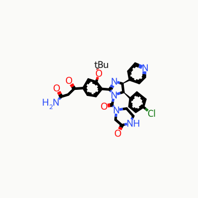 CC(C)(C)Oc1cc(C(=O)CC(N)=O)ccc1C1=N[C@@H](c2ccncc2)[C@@H](c2ccc(Cl)cc2)N1C(=O)N1CCNC(=O)C1